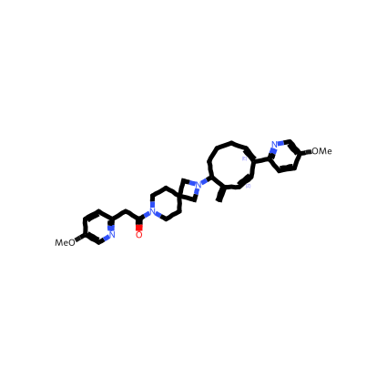 C=C1/C=C\C(c2ccc(OC)cn2)=C/CCCC1N1CC2(CCN(C(=O)Cc3ccc(OC)cn3)CC2)C1